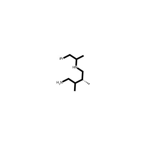 CC(C)CC(C)NC[C@H](C)C(C)CN